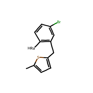 Cc1ccc(Cc2cc(Br)cc[c]2[RaH])s1